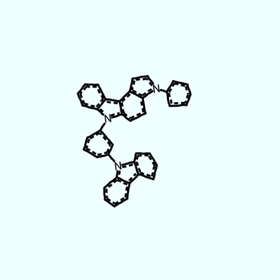 c1ccc(-n2ccc3c4c5ccccc5n(-c5cccc(-n6c7ccccc7c7ccccc76)c5)c4ccc32)cc1